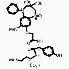 CCCCC1(CCCC)CN(c2ccccc2)c2cc(SC)c(OCC(=O)N[C@@H](C(=O)N[C@@H](CCSC)C(=O)O)c3ccc(O)cc3)cc2S(=O)(=O)C1